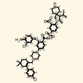 CC1(C)CCC(CN2CCN(c3ccc(C(=O)NS(=O)(=O)c4ccc(OCC5(C(CF)C(F)F)CCNCC5)c([N+](=O)[O-])c4)c(Oc4cnc(N)c(Cl)c4)c3)CC2)=C(c2ccc(Cl)cc2)C1